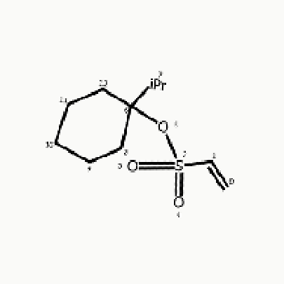 C=CS(=O)(=O)OC1(C(C)C)CCCCC1